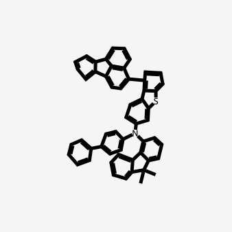 CC1(C)c2ccccc2-c2c(N(c3ccc(-c4ccccc4)cc3)c3ccc4c(c3)sc3cccc(-c5ccc6c7c(cccc57)-c5ccccc5-6)c34)cccc21